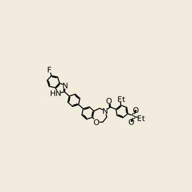 CCc1cc(S(=O)(=O)CC)ccc1C(=O)N1CCOc2ccc(-c3ccc(-c4nc5cc(F)ccc5[nH]4)cc3)cc2C1